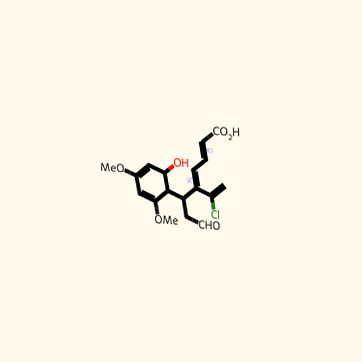 C=C(Cl)/C(=C\C=C\C(=O)O)C(CC=O)C1C(OC)=CC(OC)=CC1O